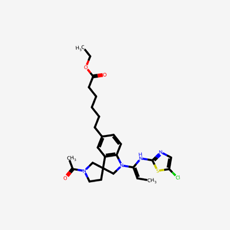 CC=C(Nc1ncc(Cl)s1)N1CC2(CCN(C(C)=O)C2)c2cc(CCCCCC(=O)OCC)ccc21